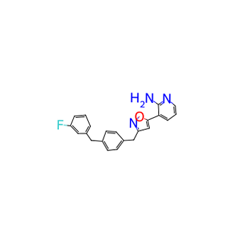 Nc1ncccc1-c1cc(Cc2ccc(Cc3cccc(F)c3)cc2)no1